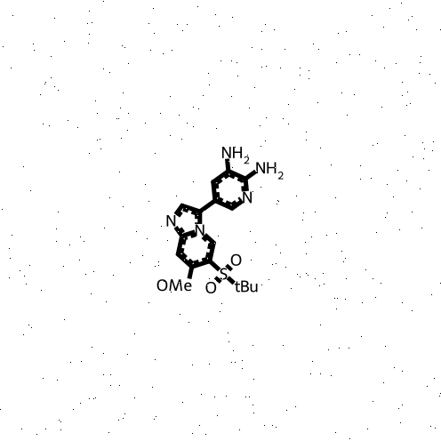 COc1cc2ncc(-c3cnc(N)c(N)c3)n2cc1S(=O)(=O)C(C)(C)C